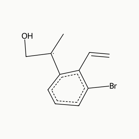 C=Cc1c(Br)cccc1[C](C)CO